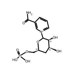 NC(=O)c1ccc[n+](C2O[C@H](COP(=O)(O)O)C[C@H](O)[C@@H]2O)c1